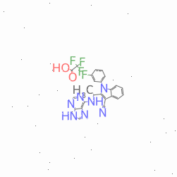 CC(Nc1ncnc2[nH]cnc12)c1c(C#N)c2ccccc2n1-c1cccc(F)c1.O=C(O)C(F)(F)F